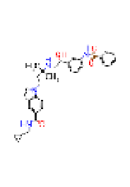 CC(C)(CCn1ccc2cc(C(=O)NCC3CC3)ccc21)NC[C@H](O)c1cccc(NS(=O)(=O)c2ccccc2)c1